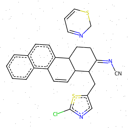 C1=CSCN=C1.N#CN=C1CCC2c3ccc4ccccc4c3C=CC2C1Cc1cnc(Cl)s1